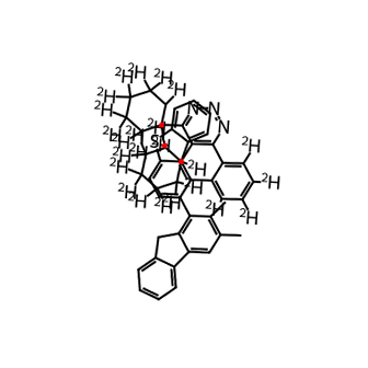 [2H]c1c([2H])c([2H])c(-c2c(-c3c(C)c(C)cc4c3Cc3ccccc3-4)ccc3sc4ccccc4c23)c(-c2nnnc(C3([2H])C([2H])C([2H])([2H])C([2H])([2H])C([2H])([2H])C3([2H])[2H])c2C2([2H])C([2H])C([2H])([2H])C([2H])([2H])C([2H])([2H])C2([2H])[2H])c1[2H]